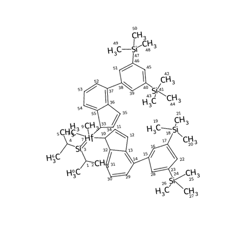 CC(C)[Si](C(C)C)=[Hf]([CH3])([CH3])([CH]1C=Cc2c(-c3cc([Si](C)(C)C)cc([Si](C)(C)C)c3)cccc21)[CH]1C=Cc2c(-c3cc([Si](C)(C)C)cc([Si](C)(C)C)c3)cccc21